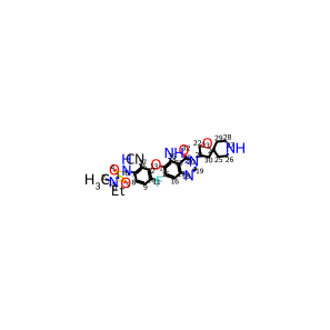 CCN(C)S(=O)(=O)Nc1ccc(F)c(Oc2ccc3ncn(C4COC5(CCNCC5)C4)c(=O)c3c2N)c1C#N